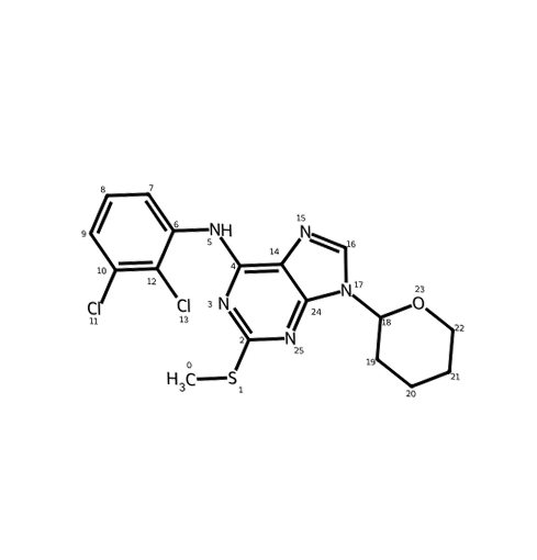 CSc1nc(Nc2cccc(Cl)c2Cl)c2ncn(C3CCCCO3)c2n1